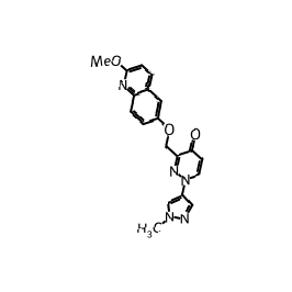 COc1ccc2cc(OCc3nn(-c4cnn(C)c4)ccc3=O)ccc2n1